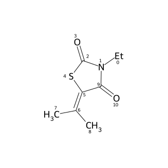 CCN1C(=O)SC(=C(C)C)C1=O